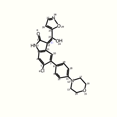 O=C1Nc2cc(Cl)c(-c3ccc(N4CCOCC4)cc3)cc2/C1=C(\O)c1ccno1